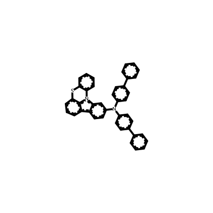 c1ccc(-c2ccc(N(c3ccc(-c4ccccc4)cc3)c3ccc4c5cccc6c5n(c4c3)-c3ccccc3S6)cc2)cc1